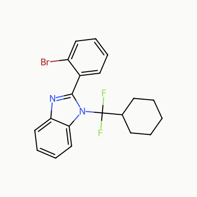 FC(F)(C1CCCCC1)n1c(-c2ccccc2Br)nc2ccccc21